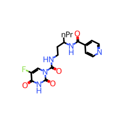 CCCC(CCNC(=O)n1cc(F)c(=O)[nH]c1=O)NC(=O)c1ccncc1